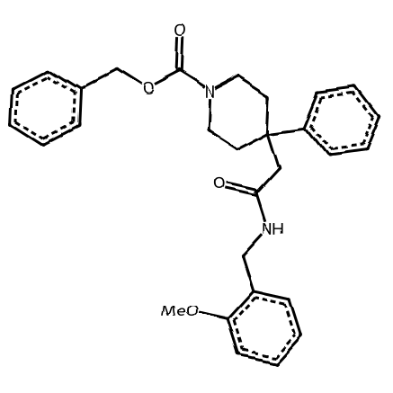 COc1ccccc1CNC(=O)CC1(c2ccccc2)CCN(C(=O)OCc2ccccc2)CC1